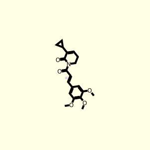 COc1cc(/C=C/C(=O)N2CCC=C(C3CC3)C2=O)cc(OC)c1OC